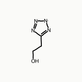 OCCC1=N[N]N=N1